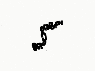 Cc1nc(S(C)(=O)=O)ccc1OC1CCC(OC2CCN(C(=O)O[C@@H](C)CO)CC2)CC1